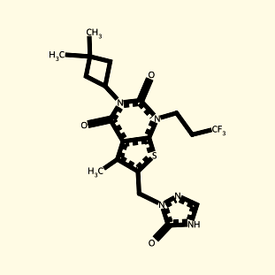 Cc1c(Cn2nc[nH]c2=O)sc2c1c(=O)n(C1CC(C)(C)C1)c(=O)n2CCC(F)(F)F